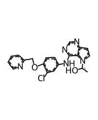 C[C](O)n1ccc2ncnc(Nc3ccc(OCc4ccccn4)c(Cl)c3)c21